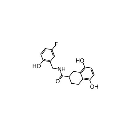 O=C(NCc1cc(F)ccc1O)C1CCc2c(O)ccc(O)c2C1